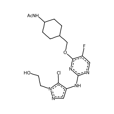 CC(=O)NC1CCC(COc2nc(Nc3cnn(CCO)c3Cl)ncc2F)CC1